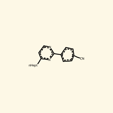 CCCCCCCc1ccnc(-c2ccc(C#N)cc2)n1